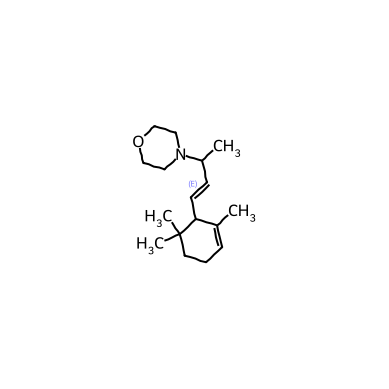 CC1=CCCC(C)(C)C1/C=C/C(C)N1CCOCC1